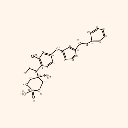 CCC(c1ccc(Sc2cccc(OCc3ccccc3)c2)cc1Cl)C1(N)COP(=O)(O)OC1